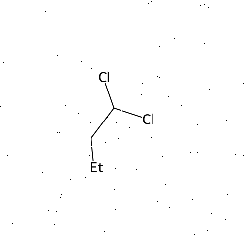 CCCC(Cl)Cl